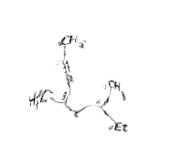 [CH2]C=CC(C)CC(C)CC